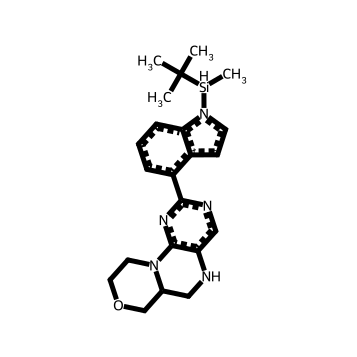 C[SiH](n1ccc2c(-c3ncc4c(n3)N3CCOCC3CN4)cccc21)C(C)(C)C